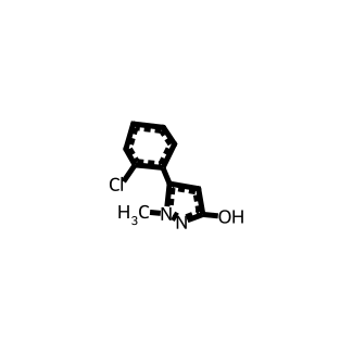 Cn1nc(O)cc1-c1ccccc1Cl